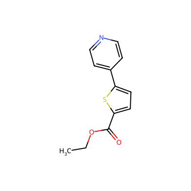 CCOC(=O)c1ccc(-c2ccncc2)s1